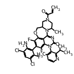 C=CC(=O)N1CC(C)N2c3nc(=O)n(-c4c(C)ccnc4C(C)C)c4c(F)c(-c5c(N)c(Cl)cc(Cl)c5F)c(F)c(c34)OCC2C1